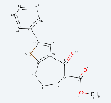 COC(=O)C1CCCc2sc(-c3ccccc3)cc2C1=O